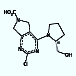 O=C(O)N1Cc2nc(Cl)nc(N3CCC[C@@H]3CO)c2C1